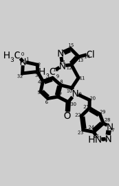 CN1CC(c2ccc3c(c2)C(Cc2c(Cl)cnn2C)N(Cc2ccc4[nH]nnc4c2)C3=O)C1